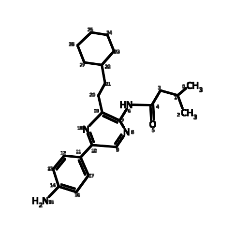 CC(C)CC(=O)Nc1ncc(-c2ccc(N)cc2)nc1CCC1CCCCC1